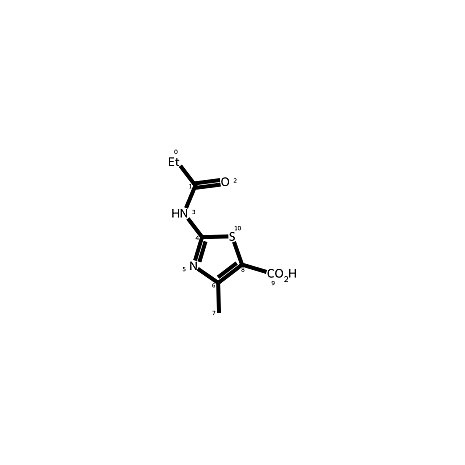 CCC(=O)Nc1nc(C)c(C(=O)O)s1